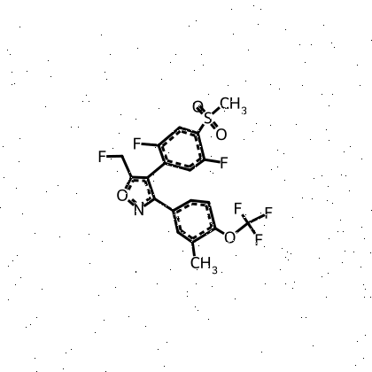 Cc1cc(-c2noc(CF)c2-c2cc(F)c(S(C)(=O)=O)cc2F)ccc1OC(F)(F)F